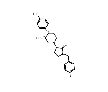 O=C1C(N2CC[C@@H](c3ccc(O)cc3)[C@@H](O)C2)CCN1Cc1ccc(F)cc1